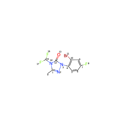 Cc1nn(-c2ccc(F)cc2Br)c(=O)n1C(F)F